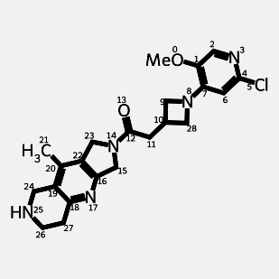 COc1cnc(Cl)cc1N1CC(CC(=O)N2Cc3nc4c(c(C)c3C2)CNCC4)C1